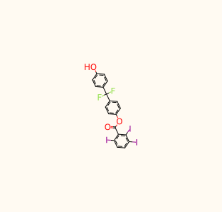 O=C(Oc1ccc(C(F)(F)c2ccc(O)cc2)cc1)c1c(I)ccc(I)c1I